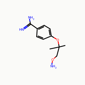 CC(C)(CON)Oc1ccc(C(=N)N)cc1